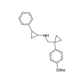 COc1ccc(C2(CNC3CC3c3ccccc3)CC2)cc1